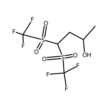 CC(O)CC(S(=O)(=O)C(F)(F)F)S(=O)(=O)C(F)(F)F